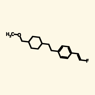 COCC1CCC(CCc2ccc(C=CF)cc2)CC1